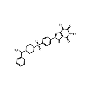 CCn1c(=O)c2[nH]c(-c3ccc(S(=O)(=O)N4CCN(C(C)c5ccccc5)CC4)cc3)cc2n(CC)c1=O